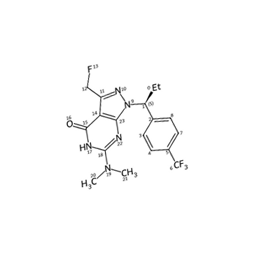 CC[C@@H](c1ccc(C(F)(F)F)cc1)n1nc(CF)c2c(=O)[nH]c(N(C)C)nc21